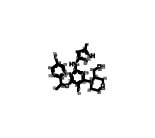 Cc1cc(Nc2nc(OC(C)c3ncc(F)cn3)c(F)c(N3CCOCC3CO)n2)n[nH]1